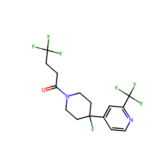 O=C(CCC(F)(F)F)N1CCC(F)(c2ccnc(C(F)(F)F)c2)CC1